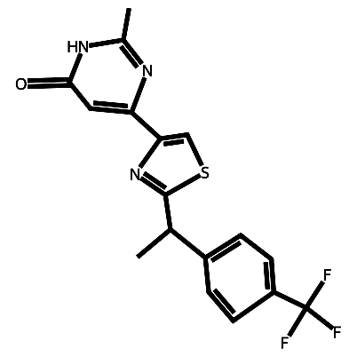 Cc1nc(-c2csc(C(C)c3ccc(C(F)(F)F)cc3)n2)cc(=O)[nH]1